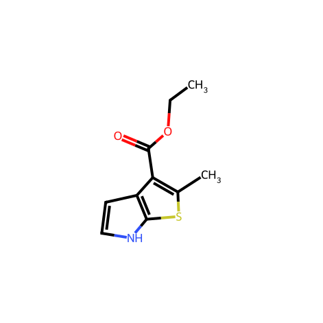 CCOC(=O)c1c(C)sc2[nH]ccc12